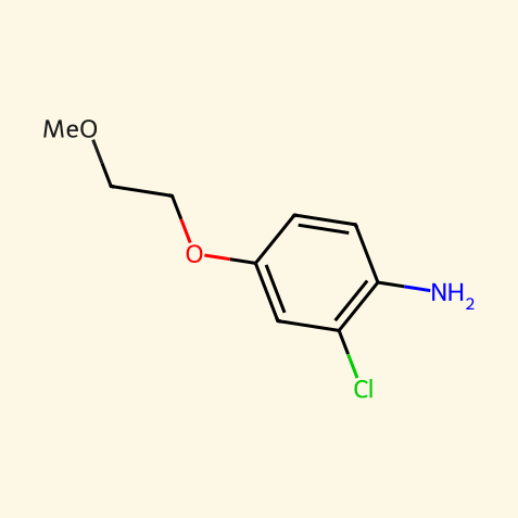 COCCOc1ccc(N)c(Cl)c1